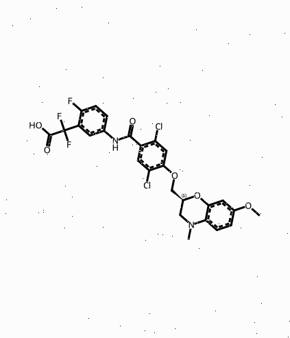 COc1ccc2c(c1)O[C@H](COc1cc(Cl)c(C(=O)Nc3ccc(F)c(C(F)(F)C(=O)O)c3)cc1Cl)CN2C